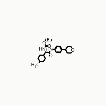 CC1CCC([C@H](NC(=O)OC(C)(C)C)C(=O)Nc2ccc(C3CCOCC3)cc2)CC1